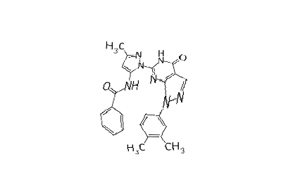 Cc1cc(NC(=O)c2ccccc2)n(-c2nc3c(cnn3-c3ccc(C)c(C)c3)c(=O)[nH]2)n1